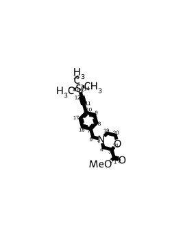 COC(=O)C1CN(Cc2ccc(C#C[Si](C)(C)C)cc2)CCO1